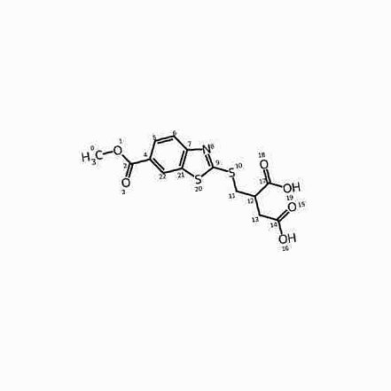 COC(=O)c1ccc2nc(SCC(CC(=O)O)C(=O)O)sc2c1